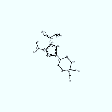 CC(C)n1nc(C2CCC(F)(F)CC2)cc1C(N)=O